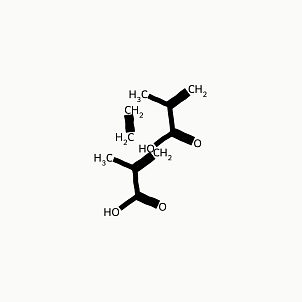 C=C.C=C(C)C(=O)O.C=C(C)C(=O)O